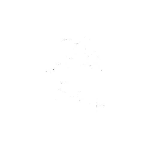 C#CCN(c1ccc(C(=O)N[C@@H](CCC(=O)N[C@H](CCC(=O)NCC[Si](C)(C)O)C(=O)O)C(=O)O)cc1)[C@H]1CCc2cc3nc(CO)[nH]c(=O)c3cc21